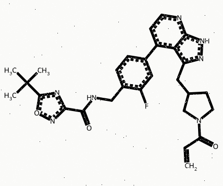 C=CC(=O)N1CCC(Cc2n[nH]c3nccc(-c4ccc(CNC(=O)c5noc(C(C)(C)C)n5)c(F)c4)c23)C1